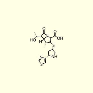 C[C@@H](O)[C@H]1C(=O)N2C(C(=O)O)=C(S[C@@H]3CN[C@H](c4cscn4)C3)[C@H](C)[C@H]12